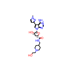 Cn1ccc(-c2cn([C@@H]3O[C@H](C(=O)NCC4CCN(CCO)CC4)C[C@H]3O)c3ncnc(N)c23)n1